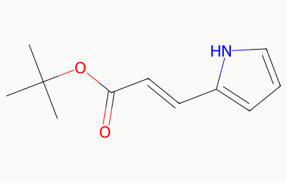 CC(C)(C)OC(=O)/C=C/c1ccc[nH]1